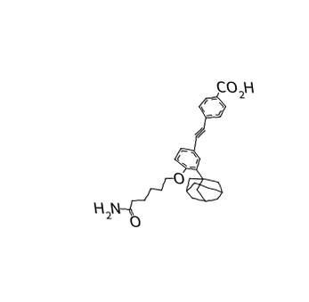 NC(=O)CCCCCOc1ccc(C#Cc2ccc(C(=O)O)cc2)cc1C12CC3CC(CC(C3)C1)C2